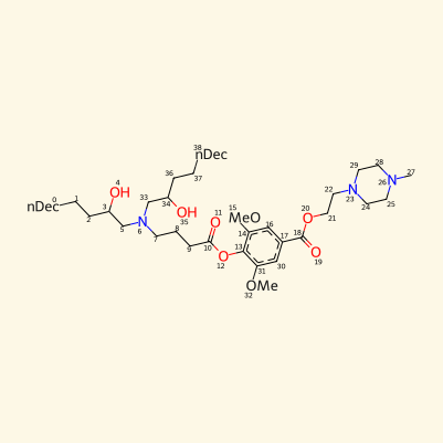 CCCCCCCCCCCCC(O)CN(CCCC(=O)Oc1c(OC)cc(C(=O)OCCN2CCN(C)CC2)cc1OC)CC(O)CCCCCCCCCCCC